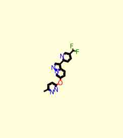 Cc1ccc(Oc2ccc3c(-c4ccc(C(F)F)cn4)cnn3c2)nn1